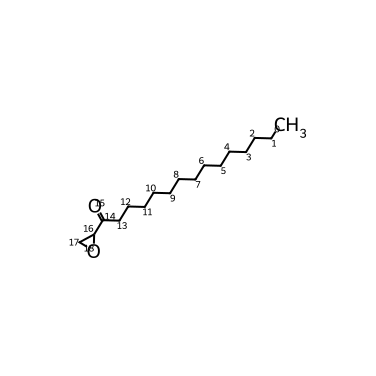 CCCCCCCCCCCCCCC(=O)C1CO1